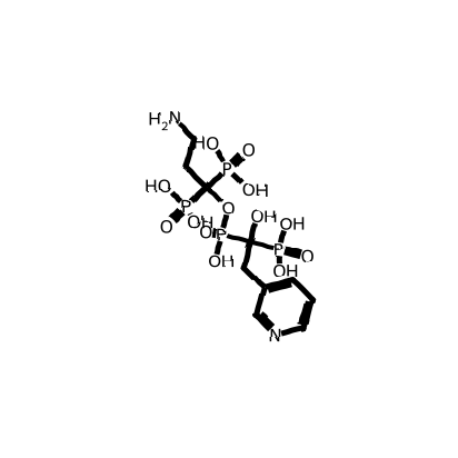 NCCC(OP(=O)(O)C(O)(Cc1cccnc1)P(=O)(O)O)(P(=O)(O)O)P(=O)(O)O